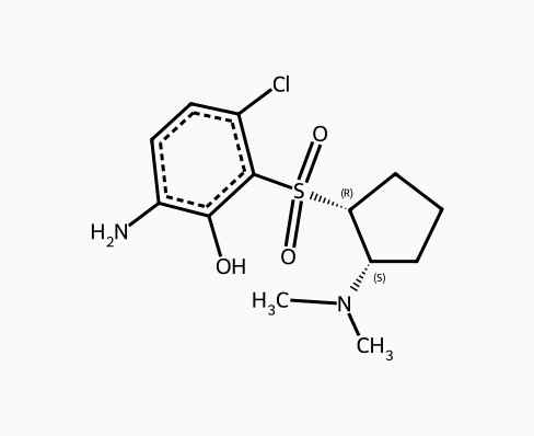 CN(C)[C@H]1CCC[C@H]1S(=O)(=O)c1c(Cl)ccc(N)c1O